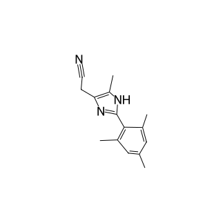 Cc1cc(C)c(-c2nc(CC#N)c(C)[nH]2)c(C)c1